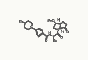 CC[C@H](C)[C@H](NC(=O)c1ccc(N2CCN(CC)CC2)cc1)C(=O)N1C[C@@H](OC)[C@H]2OCC(=O)[C@H]21